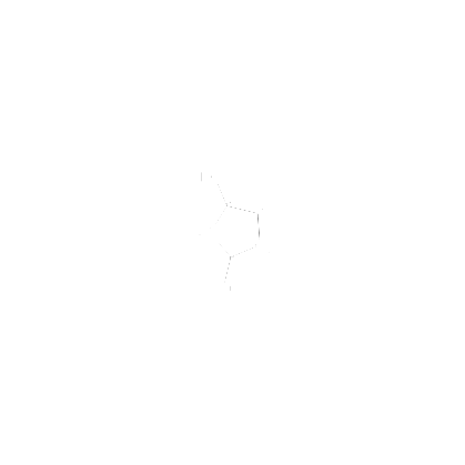 CCC1OCC(C)O1